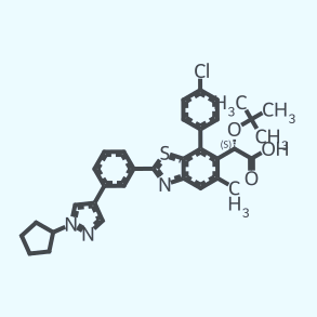 Cc1cc2nc(-c3cccc(-c4cnn(C5CCCC5)c4)c3)sc2c(-c2ccc(Cl)cc2)c1[C@H](OC(C)(C)C)C(=O)O